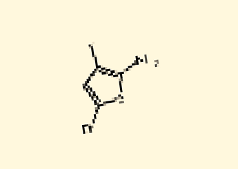 [CH2]c1cc(CC)sc1N